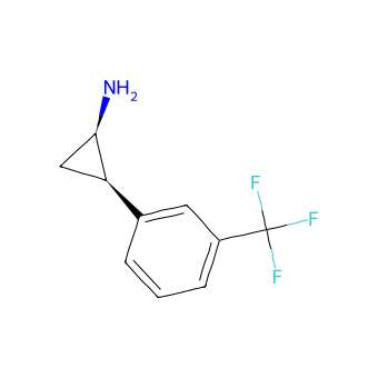 N[C@@H]1C[C@@H]1c1cccc(C(F)(F)F)c1